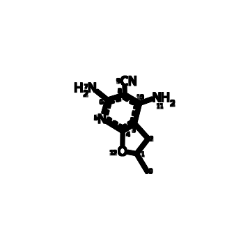 CC1Cc2c(nc(N)c(C#N)c2N)O1